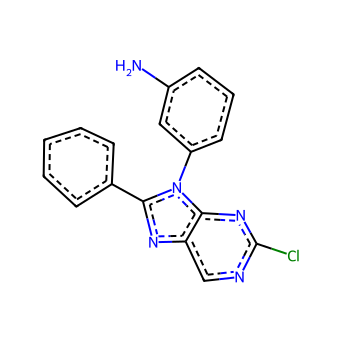 Nc1cccc(-n2c(-c3ccccc3)nc3cnc(Cl)nc32)c1